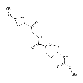 CC(C)(C)OC(=O)N[C@@H]1CC[C@@H](C(=O)NCC(=O)C2CC(OC(F)(F)F)C2)OC1